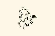 CC(C)(C)C(=O)N(c1ccccc1F)c1ccccc1F